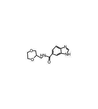 O=C(NCC1COCCO1)c1ccc2nc[nH]c2c1